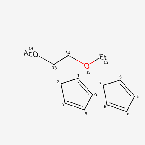 C1=CCC=C1.C1=CCC=C1.CCOCCOC(C)=O